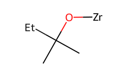 CCC(C)(C)[O][Zr]